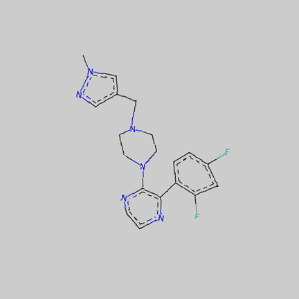 Cn1cc(CN2CCN(c3nccnc3-c3ccc(F)cc3F)CC2)cn1